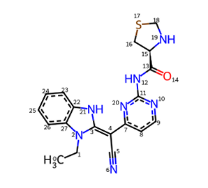 CCN1/C(=C(\C#N)c2ccnc(NC(=O)[C@H]3CSCN3)n2)Nc2ccccc21